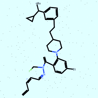 C=C/C=C\C=N/N(CF)C(=C)c1ccc(CC)cc1N1CCC(CCc2cccc(C(CCCC)C3CC3)c2)CC1